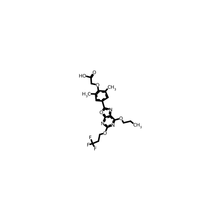 CCCOc1nc(OCCC(F)(F)F)nc2oc(-c3cc(C)c(OCC(=O)O)c(C)c3)nc12